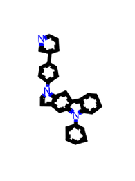 c1ccc(-n2c3ccccc3c3cc4c(ccn4-c4ccc(-c5cccnc5)cc4)cc32)cc1